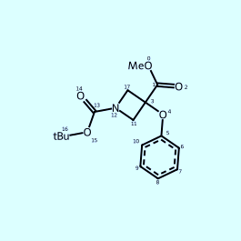 COC(=O)C1(Oc2ccccc2)CN(C(=O)OC(C)(C)C)C1